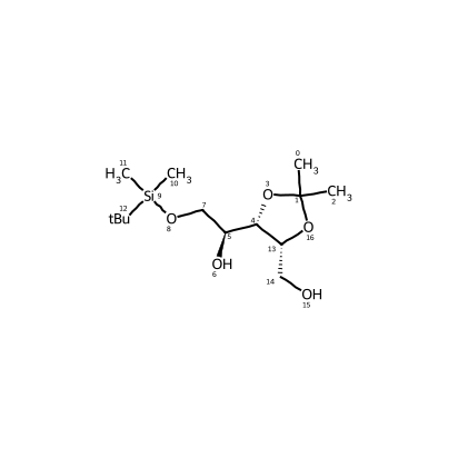 CC1(C)O[C@@H]([C@@H](O)CO[Si](C)(C)C(C)(C)C)[C@@H](CO)O1